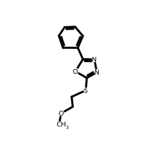 COCCSc1nnc(-c2ccccc2)o1